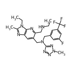 CCNCc1nc2c(cc1CN(Cc1cc(F)cc(C(F)(F)F)c1)c1nnn(C)n1)nc(C)n2CC